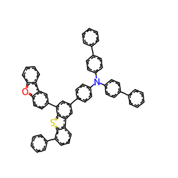 c1ccc(-c2ccc(N(c3ccc(-c4ccccc4)cc3)c3ccc(-c4cc(-c5ccc6oc7ccccc7c6c5)c5sc6c(-c7ccccc7)cccc6c5c4)cc3)cc2)cc1